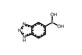 OB(O)c1ccc2[nH]nnc2c1